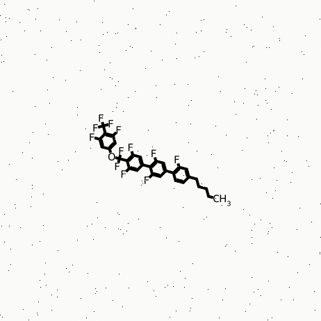 CCCCCc1ccc(-c2cc(F)c(-c3cc(F)c(C(F)(F)Oc4cc(F)c(C(F)(F)F)c(F)c4)c(F)c3)c(F)c2)c(F)c1